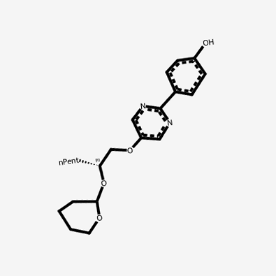 CCCCC[C@H](COc1cnc(-c2ccc(O)cc2)nc1)OC1CCCCO1